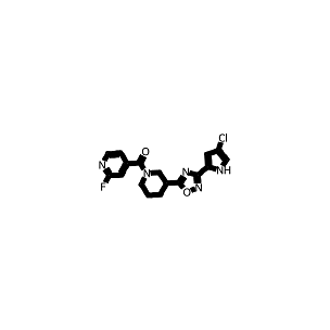 O=C(c1ccnc(F)c1)N1CCCC(c2nc(-c3cc(Cl)c[nH]3)no2)C1